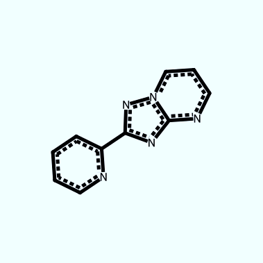 c1ccc(-c2nc3ncccn3n2)nc1